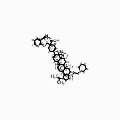 C=C(C)[C@@H]1CC[C@]2(NCCN3CCCCC3)CC[C@]3(C)[C@H](CC[C@@H]4[C@@]5(C)CC=C(C6=CCC(COc7ncccc7C#N)(C(=O)O)CC6)C(C)(C)[C@@H]5CC[C@]43C)[C@@H]12